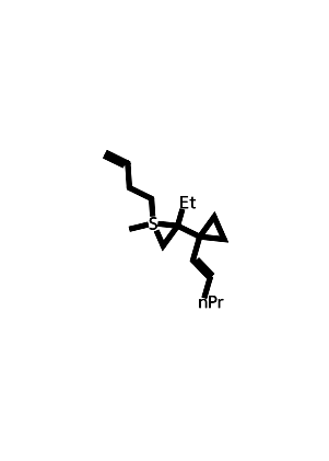 C=CCCS1(C)CC1(CC)C1(C=CCCC)CC1